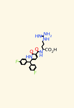 N=C(N)NCCC[C@H](NC(=O)c1ccc(C(c2ccc(F)cc2)c2ccc(F)cc2)[nH]c1=O)C(=O)O